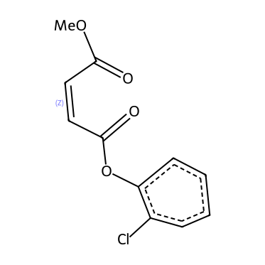 COC(=O)/C=C\C(=O)Oc1ccccc1Cl